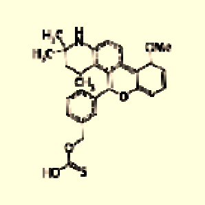 COC1C=CC=C2OC(c3cccc(COC(O)=S)c3)=c3c4c(ccc3=C21)NC(C)(C)CC4C